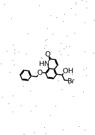 O=c1ccc2c(C(O)CBr)ccc(OCc3ccccc3)c2[nH]1